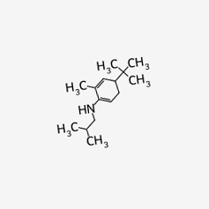 CC1=CC(C(C)(C)C)CC=C1NCC(C)C